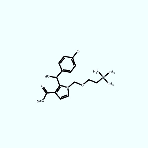 COC(=O)c1ccn(COCC[Si](C)(C)C)c1C(O)c1ccc(Cl)cc1